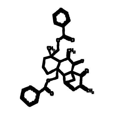 C=C1C=C2C[C@]3(C1=O)C(=O)C(=C)C1[C@](C)(COC(=O)c4ccccc4)CCC[C@@]1(COC(=O)c1ccccc1)C23